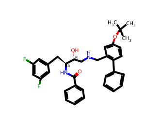 CC(C)(C)Oc1ccc(-c2ccccc2)c(CNC[C@@H](O)[C@H](Cc2cc(F)cc(F)c2)NC(=O)c2ccccc2)c1